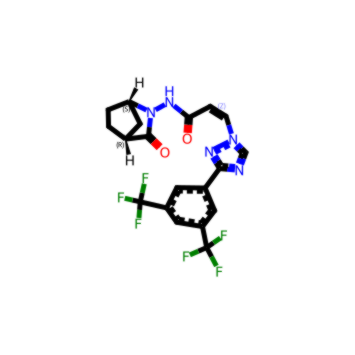 O=C(/C=C\n1cnc(-c2cc(C(F)(F)F)cc(C(F)(F)F)c2)n1)NN1C(=O)[C@@H]2CC[C@H]1C2